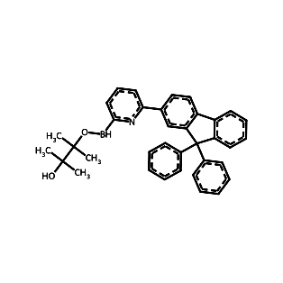 CC(C)(O)C(C)(C)OBc1cccc(-c2ccc3c(c2)C(c2ccccc2)(c2ccccc2)c2ccccc2-3)n1